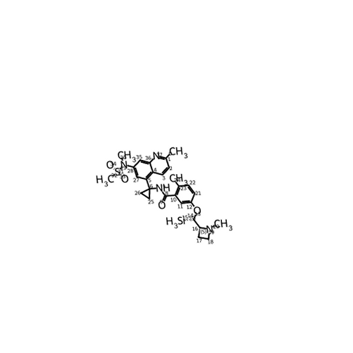 Cc1ccc2c(C3(NC(=O)c4cc(O[C@@H]([SiH3])[C@@H]5CCN5C)ccc4C)CC3)cc(N(C)S(C)(=O)=O)cc2n1